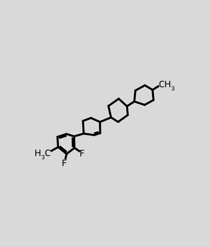 Cc1ccc(C2C=CC(C3CCC(C4CCC(C)CC4)CC3)CC2)c(F)c1F